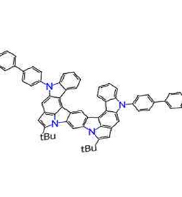 CC(C)(C)c1cc2cc3c(c4ccccc4n3-c3ccc(-c4ccccc4)cc3)c3c4cc5c6c7c8ccccc8n(-c8ccc(-c9ccccc9)cc8)c7cc7cc(C(C)(C)C)n(c5cc4n1c23)c76